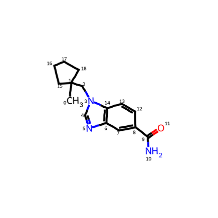 CC1(Cn2cnc3cc(C(N)=O)ccc32)CCCC1